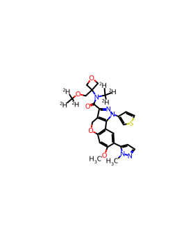 [2H]C([2H])([2H])OCC1(N(C(=O)c2nn(-c3ccsc3)c3c2COc2cc(OC)c(-c4ccnn4C)cc2-3)C([2H])([2H])[2H])COC1